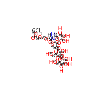 CC1OC(OC2C(CNC(=O)COCCOCC(=O)OCC(Cl)(Cl)Cl)OCCC2OC2OC(CO)C(O)C(OC3OC(CO)C(O)C(O)C3O)C2O)C(O)C(O)C1O